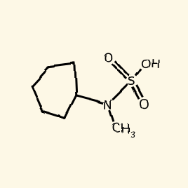 CN(C1CCCCC1)S(=O)(=O)O